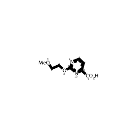 COCCOc1nccc(C(=O)O)n1